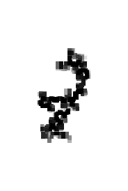 CC(C)C(OC1CCCC(COC(=O)CCC(NC(=O)CCCN2C(=O)C=CC2=O)C(=O)OCC2CCCC(OC(C(=O)O)C(C)C)O2)O1)C(=O)O